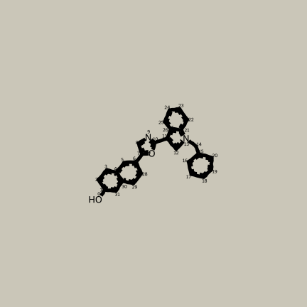 Oc1ccc2cc(-c3cnc(-c4cn(Cc5ccccc5)c5ccccc45)o3)ccc2c1